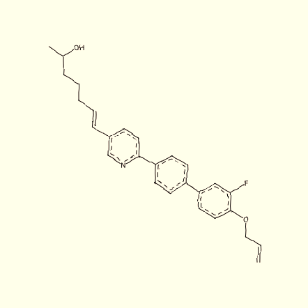 C=CCOc1ccc(-c2ccc(-c3ccc(C=CCCCC(C)O)cn3)cc2)cc1F